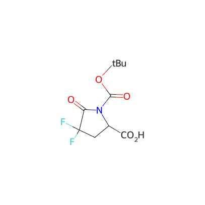 CC(C)(C)OC(=O)N1C(=O)C(F)(F)CC1C(=O)O